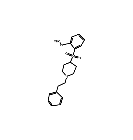 O=CNc1ccccc1S(=O)(=O)C1CCN(CCc2ccccc2)CC1